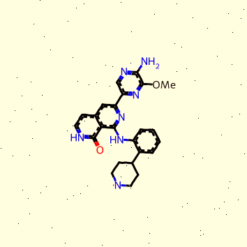 COc1nc(-c2cc3cc[nH]c(=O)c3c(Nc3ccccc3C3CC[N]CC3)n2)cnc1N